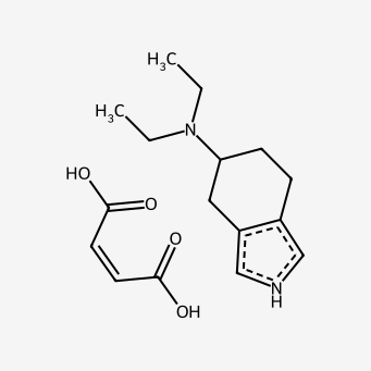 CCN(CC)C1CCc2c[nH]cc2C1.O=C(O)/C=C\C(=O)O